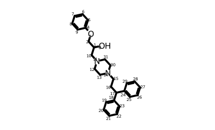 OC(COc1ccccc1)CN1CCN(CCC(c2ccccc2)c2ccccc2)CC1